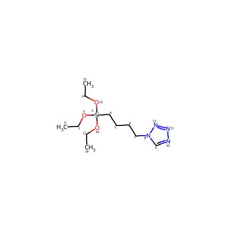 CCO[Si](CCCCn1cnnn1)(OCC)OCC